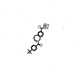 CC(C)(C)c1ccc(C(=O)N2CCCc3cc(C(=O)NO)ccc3C2)cc1